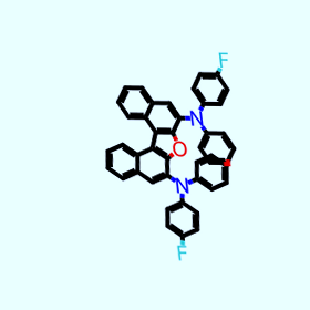 Fc1ccc(N(c2ccccc2)c2cc3ccccc3c3c2oc2c(N(c4ccccc4)c4ccc(F)cc4)cc4ccccc4c23)cc1